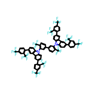 FC(F)(F)c1ccc(-c2ccc3c(c2)c2cc(-c4ccc(C(F)(F)F)cc4C(F)(F)F)ccc2n3-c2cc(-c3ccc(C(F)(F)F)c(-n4c5ccc(-c6ccc(C(F)(F)F)cc6C(F)(F)F)cc5c5cc(-c6ccc(C(F)(F)F)cc6C(F)(F)F)ccc54)c3)ccc2C(F)(F)F)c(C(F)(F)F)c1